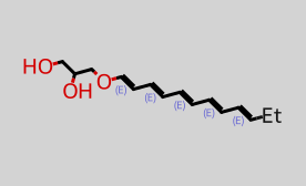 CC/C=C/C=C/C=C/C=C/C=C/OCC(O)CO